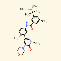 Cc1ccc(NC(=O)c2cc(C(F)(F)F)cc(C(C)(C)N(C(=O)O)C(C)(C)C)c2)cc1-c1cc(N2CCOCC2)c(=O)n(C)c1